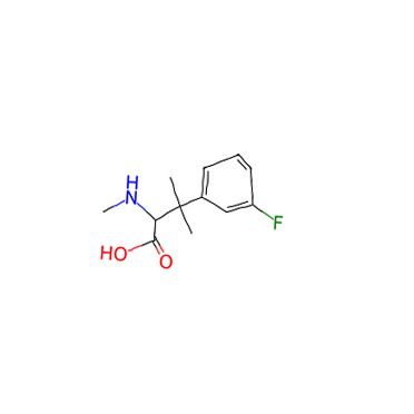 CNC(C(=O)O)C(C)(C)c1cccc(F)c1